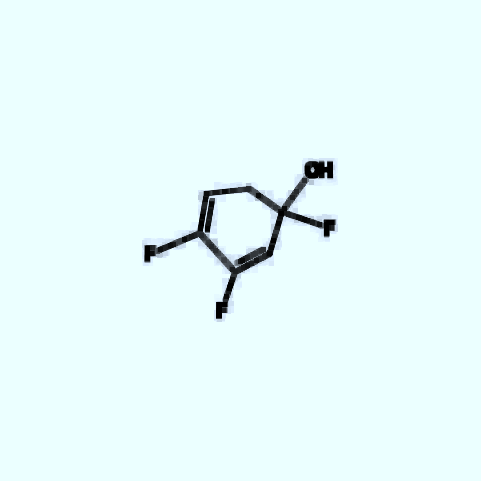 OC1(F)C=C(F)C(F)=CC1